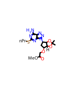 CCCSc1nc(N)c2nnn([C@@H]3C[C@H](OCC(=O)OC)[C@H]4OC(C)(C)OC34)c2n1